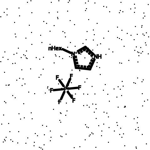 CCCCCC[n+]1cc[nH]c1.F[P-](F)(F)(F)(F)F